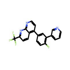 Fc1ccc(-c2ccnc3nc(C(F)(F)F)ccc23)cc1-c1cccnc1